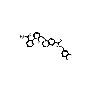 Cc1ccc(CNC(=O)c2ccc3c(c2)CCCN3Cc2cccc(-c3ccccc3C(N)=O)c2F)cc1F